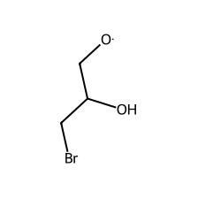 [O]CC(O)CBr